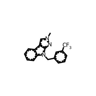 Cn1cc2c3ccccc3n(Cc3cccc(C(F)(F)F)c3)c2n1